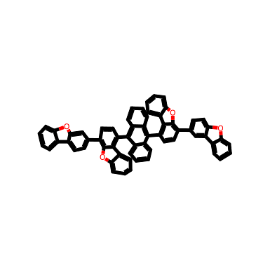 c1ccc2c(c1)oc1cc(-c3ccc(-c4c5ccccc5c(-c5ccc(-c6ccc7oc8ccccc8c7c6)c6oc7ccccc7c56)c5ccccc45)c4c3oc3ccccc34)ccc12